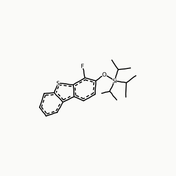 CC(C)[Si](Oc1ccc2c(sc3ccccc32)c1F)(C(C)C)C(C)C